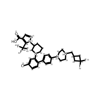 O=C(O)c1cnn(C2CCCN(c3cc(Cl)ccc3-c3ccc(N4CCN(CC5CC(F)(F)C5)CC4)cc3)C2)c1C(F)(F)F